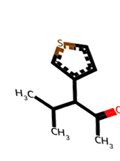 CC(=O)C(c1ccsc1)C(C)C